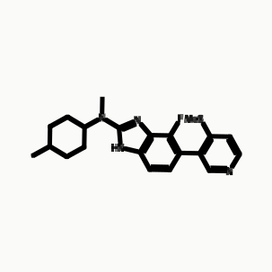 CSc1ccncc1-c1ccc2[nH]c(N(C)C3CCC(C)CC3)nc2c1F